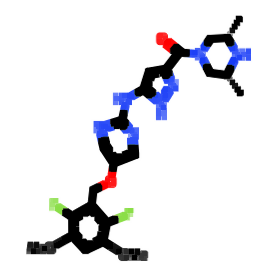 COc1cc(OC)c(F)c(COc2cnc(Nc3cc(C(=O)N4C[C@@H](C)N[C@@H](C)C4)n[nH]3)nc2)c1F